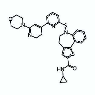 O=C(NC1CC1)c1cc2c(s1)-c1ccccc1N(Sc1cccc(C3=CC(N4CCOCC4)=NCC3)n1)CC2